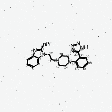 CCCc1nc2ccccc2n1CCN1CCN(c2ccccc2-c2nnn[nH]2)CC1